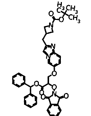 CC(C)(C)OC(=O)N1CC(Cc2cn3cc(OCC(ON4C(=O)c5ccccc5C4=O)C(=O)OC(c4ccccc4)c4ccccc4)ccc3n2)C1